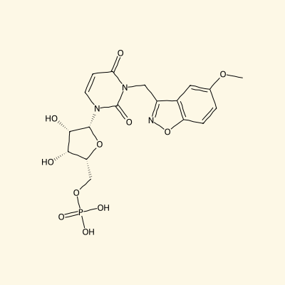 COc1ccc2onc(Cn3c(=O)ccn([C@@H]4O[C@H](COP(=O)(O)O)[C@H](O)[C@@H]4O)c3=O)c2c1